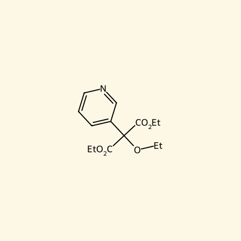 CCOC(=O)C(OCC)(C(=O)OCC)c1cccnc1